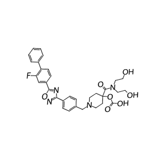 O=C(O)OC1(C(=O)N(CCO)CCO)CCN(Cc2ccc(-c3noc(-c4ccc(-c5ccccc5)c(F)c4)n3)cc2)CC1